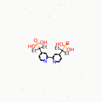 CCC(CC)(c1ccnc(-c2cc(C(CC)(CC)P(=O)(O)O)ccn2)c1)P(=O)(O)O